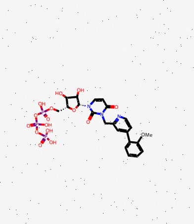 COc1ccccc1-c1ccnc(Cn2c(=O)ccn([C@@H]3O[C@H](COP(=O)(O)OP(=O)(O)OP(=O)(O)O)C(O)C3O)c2=O)c1